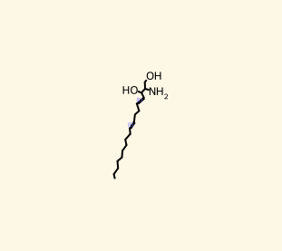 CCCCCCCCC/C=C/CC/C=C/C(O)C(N)CO